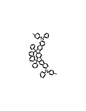 Cc1ccc(N(c2ccccc2)c2ccc3cc4c(cc3c2)C(c2ccccc2)(c2ccccc2)c2cc3c(cc2-4)-c2cc4ccc(N(c5ccccc5)c5ccc(C)cc5)cc4cc2C3(c2ccccc2)c2ccccc2)cc1